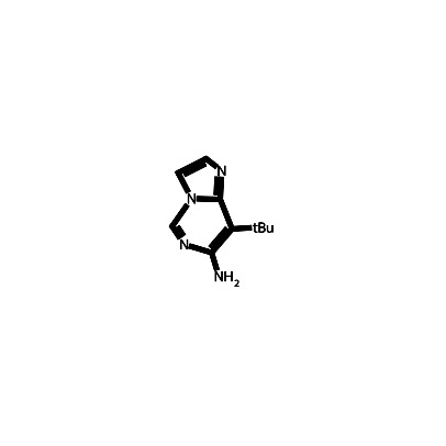 CC(C)(C)c1c(N)ncn2ccnc12